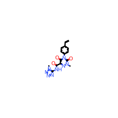 C=Cc1ccc(-n2c(=O)c(C(=O)Nc3nnnn3C)nn(C)c2=O)cc1